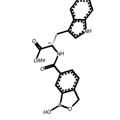 COC(=O)[C@H](Cc1c[nH]c2ccccc12)NC(=O)c1ccc2c(c1)B(O)OC2